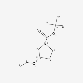 CCO[C@H]1CCN(C(=O)OC(C)(C)C)C1